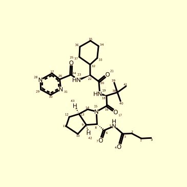 CCCC(=O)NC(=O)[C@@H]1[C@H]2CCC[C@H]2CN1C(=O)[C@@H](NC(=O)[C@@H](NC(=O)c1cnccn1)C1CCCCC1)C(C)(C)C